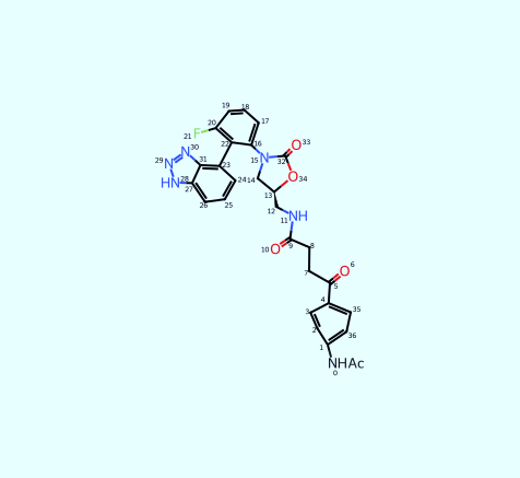 CC(=O)Nc1ccc(C(=O)CCC(=O)NC[C@H]2CN(c3cccc(F)c3-c3cccc4[nH]nnc34)C(=O)O2)cc1